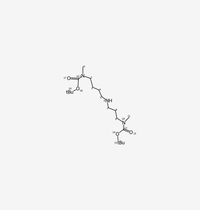 CN(CCCCNCCCN(C)C(=O)OC(C)(C)C)C(=O)OC(C)(C)C